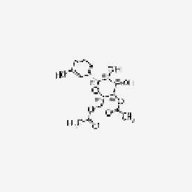 CC(=O)OC[C@H]1O[C@H](c2cccc(O)c2)[C@@H](O)[C@@H](O)[C@H]1OC(C)=O